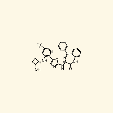 O=C1Nc2ccccc2C(c2ccccc2)=N[C@@H]1Nc1nnc(-c2ncc(C(F)(F)F)cc2N[C@H]2CCC2O)o1